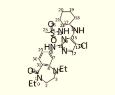 CCN1CCN(CC)c2cc(Nc3ncc(Cl)c(N[C@@H]4CCCC[C@H]4NS(C)(=O)=O)n3)ccc2C1=O